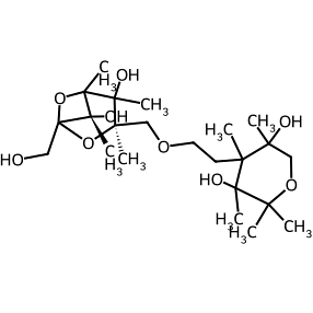 CC1(O)COC(C)(C)C(C)(O)C1(C)CCOC[C@@]1(C)OC2(CO)OC(C)(C1(C)O)[C@]2(C)O